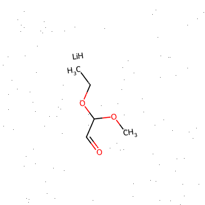 CCOC(C=O)OC.[LiH]